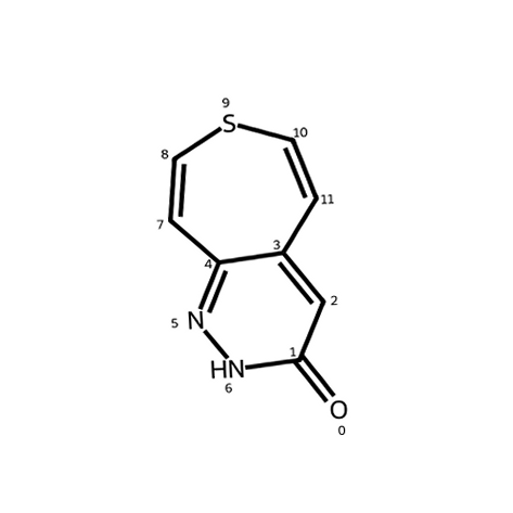 O=c1cc2c(n[nH]1)C=CSC=C2